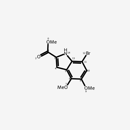 COC(=O)c1cc2c(OC)c(OC)cc(Br)c2[nH]1